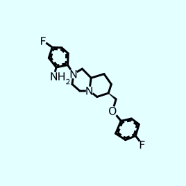 Nc1cc(F)ccc1N1CCN2C[C@H](COc3ccc(F)cc3)CCC2C1